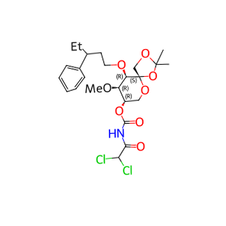 CCC(CCO[C@@H]1[C@H](OC)[C@H](OC(=O)NC(=O)C(Cl)Cl)CO[C@]12COC(C)(C)O2)c1ccccc1